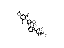 COCC(CN)n1cccc(N2C[C@@H](c3c(F)cc(OC)cc3I)CC2=O)c1=O